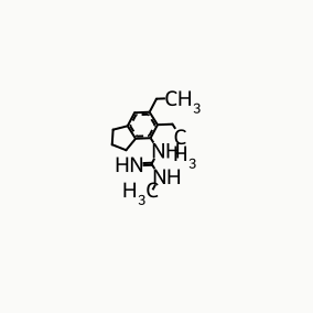 CCc1cc2c(c(NC(=N)NC)c1CC)CCC2